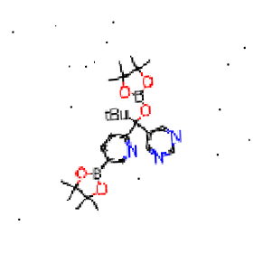 CC(C)(C)C(OB1OC(C)(C)C(C)(C)O1)(c1cncnc1)c1ccc(B2OC(C)(C)C(C)(C)O2)cn1